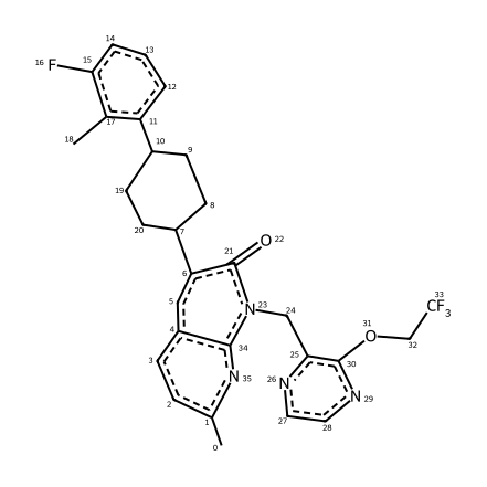 Cc1ccc2cc(C3CCC(c4cccc(F)c4C)CC3)c(=O)n(Cc3nccnc3OCC(F)(F)F)c2n1